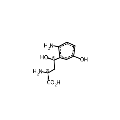 Nc1ccc(O)cc1[C@H](O)C[C@H](N)C(=O)O